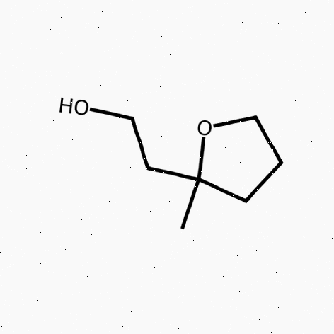 CC1(CCO)CCCO1